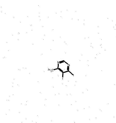 Cc1ncnc(I)c1I